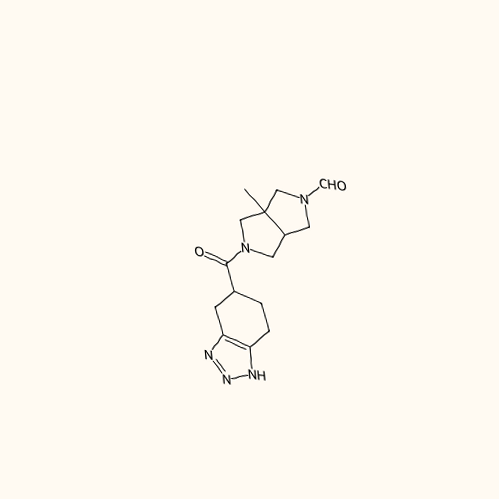 CC12CN(C=O)CC1CN(C(=O)C1CCc3[nH]nnc3C1)C2